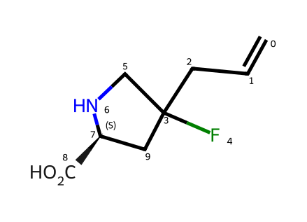 C=CCC1(F)CN[C@H](C(=O)O)C1